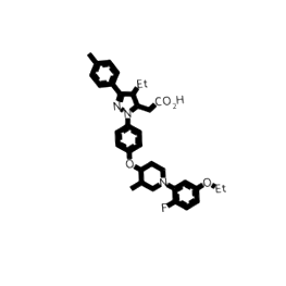 CCOc1ccc(F)c(N2CCC(Oc3ccc(N4N=C(c5ccc(C)cc5)C(CC)C4CC(=O)O)cc3)C(C)C2)c1